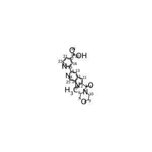 Cn1c(C(=O)N2CCOCC2)cc2cc(-c3cc(C(=O)O)ccn3)ncc21